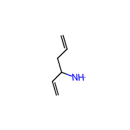 C=CCC([NH])C=C